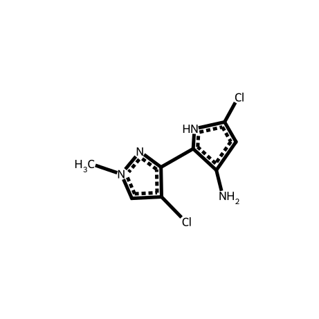 Cn1cc(Cl)c(-c2[nH]c(Cl)cc2N)n1